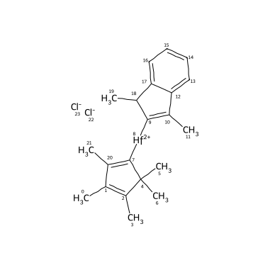 CC1=C(C)C(C)(C)[C]([Hf+2][C]2=C(C)c3ccccc3C2C)=C1C.[Cl-].[Cl-]